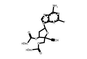 C#CC1(COC(=O)CCCCCCCCCC)OC(n2cnc3c(N)nc(F)nc32)CC1OC(=O)CCCCCCCCCC